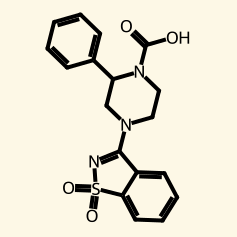 O=C(O)N1CCN(C2=NS(=O)(=O)c3ccccc32)CC1c1ccccc1